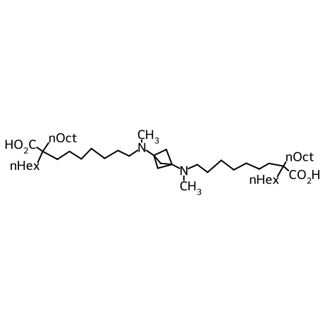 CCCCCCCCC(CCCCCC)(CCCCCCCN(C)C12CC(N(C)CCCCCCCC(CCCCCC)(CCCCCCCC)C(=O)O)(C1)C2)C(=O)O